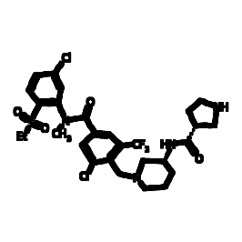 CCS(=O)(=O)c1ccc(Cl)cc1N(C)C(=O)c1cc(Cl)c(CN2CCC[C@H](NC(=O)[C@@H]3CCNC3)C2)c(C(F)(F)F)c1